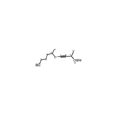 [CH2]CC(C)CCCC(C)CC#CC(C)OC